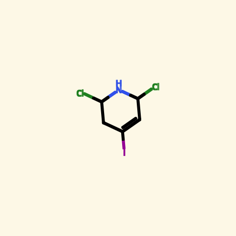 ClC1C=C(I)CC(Cl)N1